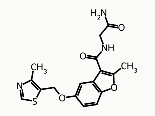 Cc1ncsc1COc1ccc2oc(C)c(C(=O)NCC(N)=O)c2c1